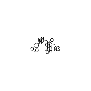 O=C(NCc1cn(-c2ccc3c(c2)OCO3)nn1)C(Cc1cscn1)NC(=O)C1CO1